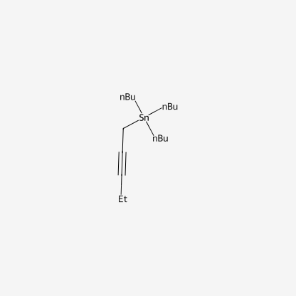 CCC#C[CH2][Sn]([CH2]CCC)([CH2]CCC)[CH2]CCC